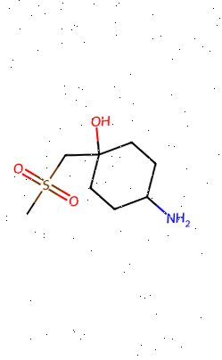 CS(=O)(=O)CC1(O)CCC(N)CC1